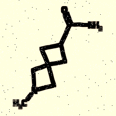 CN1CC2(CC(C(N)=O)C2)C1